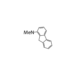 CNc1cccc2c1Cc1ccccc1-2